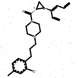 C=C/C=C(\C=C)[C@@H]1C[C@H]1C(=O)N1CCN(CCCc2ccc(C)cc2Cl)CC1